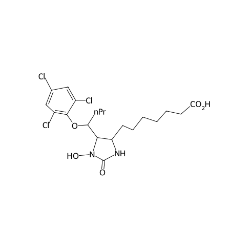 CCCC(Oc1c(Cl)cc(Cl)cc1Cl)C1C(CCCCCCC(=O)O)NC(=O)N1O